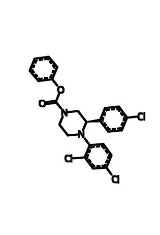 O=C(Oc1ccccc1)N1CCN(c2ccc(Cl)cc2Cl)[C@H](c2ccc(Cl)cc2)C1